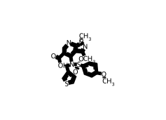 COc1ccc(S(=O)(=O)N(Cc2ccsc2)c2c(C(=O)O)cnc3c2c(C)nn3C)cc1